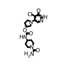 NC(=O)N1CCC(NC(=O)O[C@@H]2CCN(c3cn[nH]c(=O)c3Cl)C2)CC1